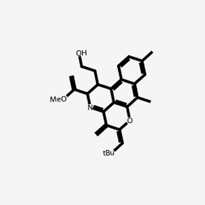 C=C1C2=NC(C(=C)OC)C(CCO)c3c2c(c(C)c2cc(C)ccc32)O/C1=C/C(C)(C)C